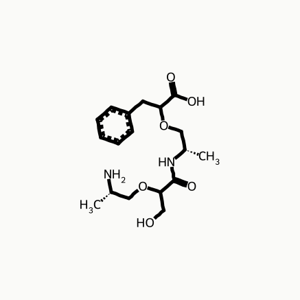 C[C@H](N)COC(CO)C(=O)N[C@@H](C)COC(Cc1ccccc1)C(=O)O